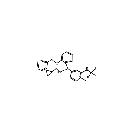 Fc1ccc(C(NCC2CC2)c2ccccc2OCc2ccccc2)cc1NC(F)(F)F